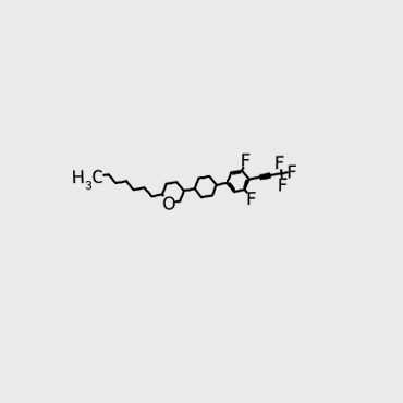 CCCCCCCC1CCC(C2CCC(c3cc(F)c(C#CC(F)(F)F)c(F)c3)CC2)CO1